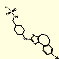 COc1ccc2c(c1)CCCc1sc(NC3CCC(CNS(=O)(=O)C(C)C)CC3)nc1-2